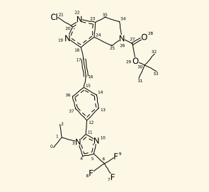 CC(C)n1cc(C(F)(F)F)nc1-c1ccc(C#Cc2nc(Cl)nc3c2CN(C(=O)OC(C)(C)C)CC3)cc1